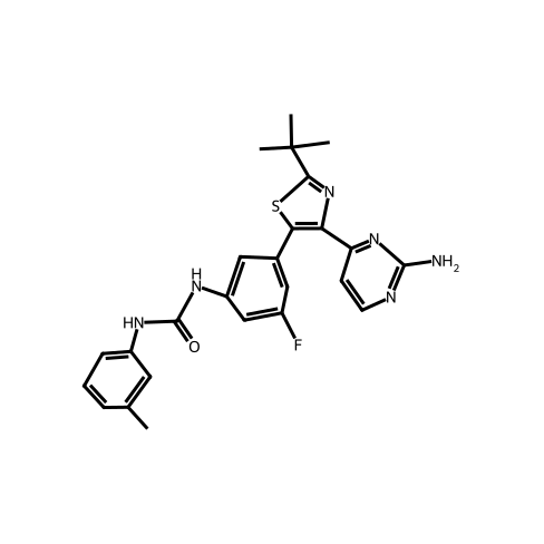 Cc1cccc(NC(=O)Nc2cc(F)cc(-c3sc(C(C)(C)C)nc3-c3ccnc(N)n3)c2)c1